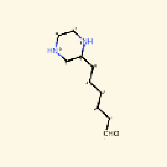 O=CCCCCCC1CNCCN1